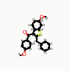 COc1ccc(C(=O)c2c(Cc3ccccc3)sc3cc(OC)ccc23)cc1